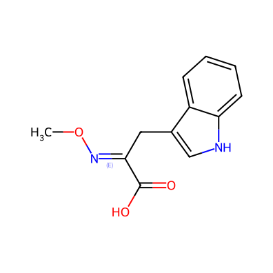 CO/N=C(\Cc1c[nH]c2ccccc12)C(=O)O